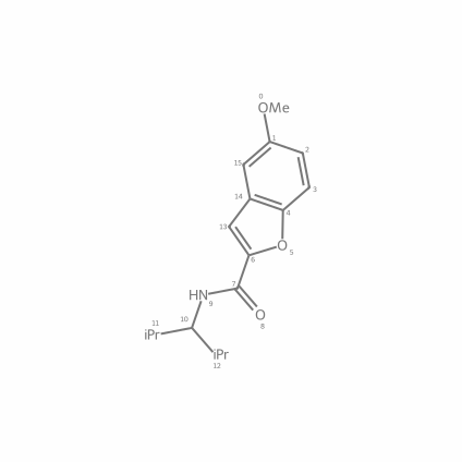 COc1ccc2oc(C(=O)NC(C(C)C)C(C)C)cc2c1